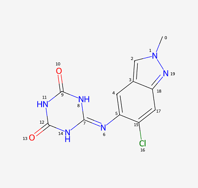 Cn1cc2cc(N=c3[nH]c(=O)[nH]c(=O)[nH]3)c(Cl)cc2n1